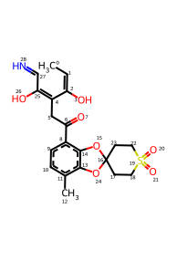 C/C=C(O)\C(CC(=O)c1ccc(C)c2c1OC1(CCS(=O)(=O)CC1)O2)=C(\O)C=N